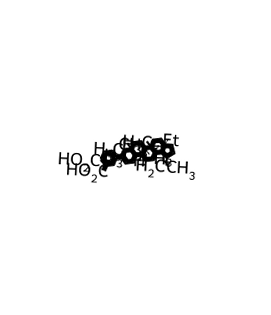 C=C(C)[C@@H]1CC[C@]2(CC)CC[C@]3(C)[C@H](CC[C@@H]4[C@@]5(C)CC=C(c6ccc(C(=O)O)c(C(=O)O)c6)C(C)(C)[C@@H]5CC[C@]43C)[C@@H]12